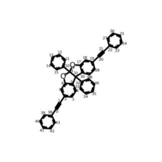 C(#Cc1ccc2c(c1)OC1(c3ccccc3)Oc3cc(C#Cc4ccccc4)ccc3C21c1ccccc1)c1ccccc1